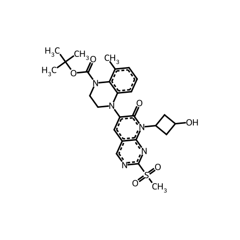 Cc1cccc2c1N(C(=O)OC(C)(C)C)CCN2c1cc2cnc(S(C)(=O)=O)nc2n(C2CC(O)C2)c1=O